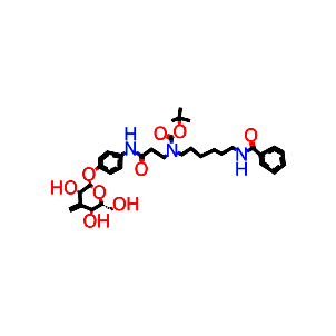 C=C1[C@@H](O)[C@@H](Oc2ccc(NC(=O)CCN(CCCCCCNC(=O)c3ccccc3)C(=O)OC(C)(C)C)cc2)O[C@H](CO)[C@H]1O